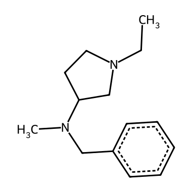 CCN1CCC(N(C)Cc2ccccc2)C1